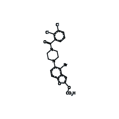 O=C(O)Oc1cc2c(Br)c(N3CCN(C(=O)c4cccc(Cl)c4Cl)CC3)ccc2o1